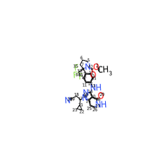 COC(=O)N1CCCC1(c1ccc(Nc2nn(C(CC#N)C3CC3)c3cc[nH]c(=O)c23)cc1)C(F)(F)F